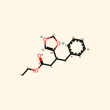 CCOC(=O)CC(Cc1ccccc1)C1=COCO1